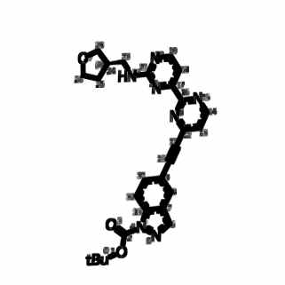 CC(C)(C)OC(=O)n1ncc2cc(C#Cc3ccnc(-c4ccnc(NC[C@H]5CCOC5)n4)n3)ccc21